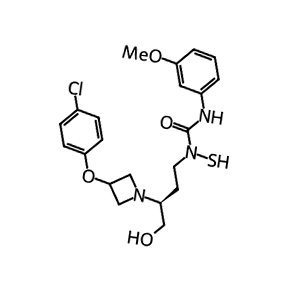 COc1cccc(NC(=O)N(S)CC[C@@H](CO)N2CC(Oc3ccc(Cl)cc3)C2)c1